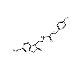 COc1ccc2c(c1)oc(=O)n2CCNC(=O)/C=C/c1ccc(C#N)cc1